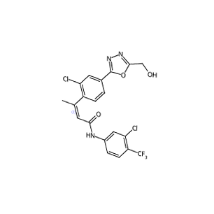 C/C(=C/C(=O)Nc1ccc(C(F)(F)F)c(Cl)c1)c1ccc(-c2nnc(CO)o2)cc1Cl